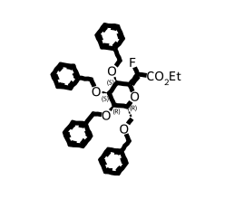 CCOC(=O)C(F)=C1O[C@H](COCc2ccccc2)[C@@H](OCc2ccccc2)[C@H](OCc2ccccc2)[C@@H]1OCc1ccccc1